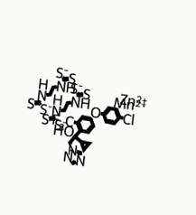 OC(Cn1cncn1)(c1ccc(Oc2ccc(Cl)cc2)cc1C(F)(F)F)C1CC1.S=C([S-])NCCNC(=S)[S-].S=C([S-])NCCNC(=S)[S-].[Mn+2].[Zn+2]